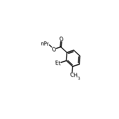 CCCOC(=O)c1cccc(C)c1CC